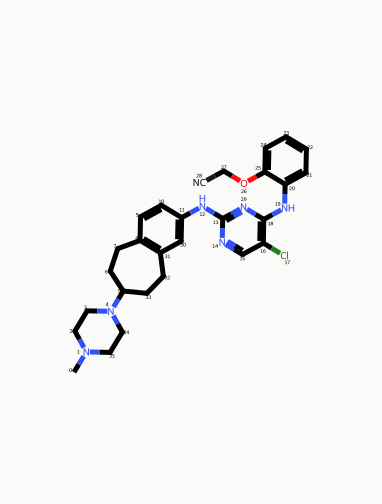 CN1CCN(C2CCc3ccc(Nc4ncc(Cl)c(Nc5ccccc5OCC#N)n4)cc3CC2)CC1